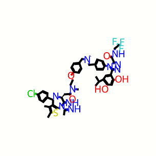 CC(=N)N1C(=N)[C@H](CC(=O)N(C)CCOc2ccc(CN(C)Cc3ccc(-n4c(C(=O)NCC(F)(F)F)nnc4-c4cc(C(C)C)c(O)cc4O)cc3)cc2)N=C(c2ccc(Cl)cc2)c2c1sc(C)c2C